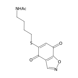 CC(=O)NCCCCSC1=CC(=O)c2oncc2C1=O